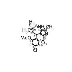 COc1cc(Cl)ccc1C1SC(C)(C)CNc2c1c(C1CC1)nn2C